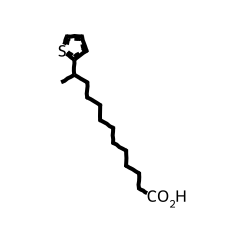 CC(CCCCCCCCCCC(=O)O)c1cccs1